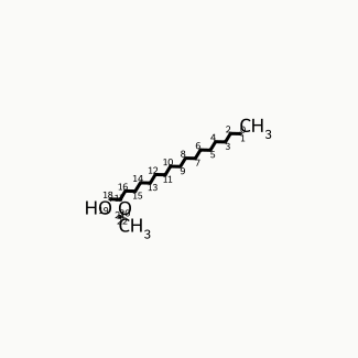 CCCCCCCCCCCCCCCCCC(CO)OCC